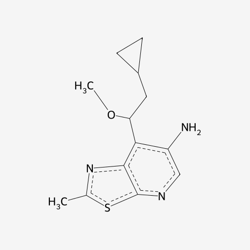 COC(CC1CC1)c1c(N)cnc2sc(C)nc12